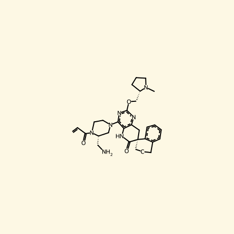 C=CC(=O)N1CCN(c2nc(OC[C@@H]3CCCN3C)nc3c2NC(=O)[C@@]2(CCCc4ccccc42)C3)C[C@@H]1CN